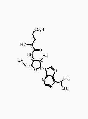 CN(C)c1ncnc2c1ncn2[C@@H]1O[C@H](CO)[C@@H](NC(=O)[C@@H](N)CCC(=O)O)[C@H]1O